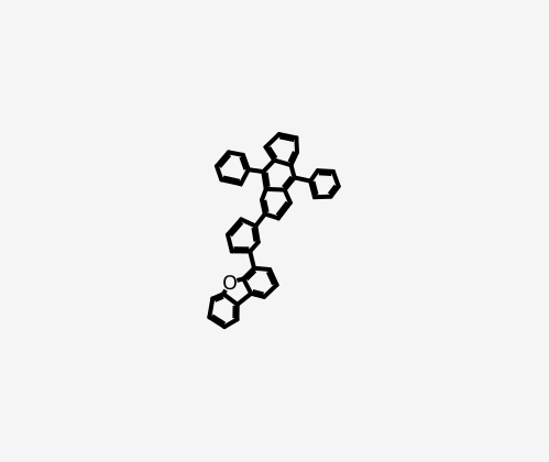 c1ccc(-c2c3ccccc3c(-c3ccccc3)c3cc(-c4cccc(-c5cccc6c5oc5ccccc56)c4)ccc23)cc1